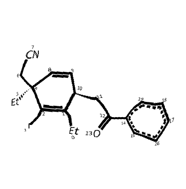 CCC1=C(I)[C@@](CC)(CC#N)C=C[C@H]1CC(=O)c1ccccc1